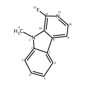 Cn1c2ccccc2c2ccnc(F)c21